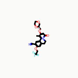 Cc1c(OC[C@@H]2COCCO2)cc(=O)n2c1-c1cc(C#N)c(OCC(F)(F)F)cc1CC2